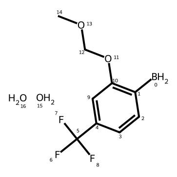 Bc1ccc(C(F)(F)F)cc1OCOC.O.O